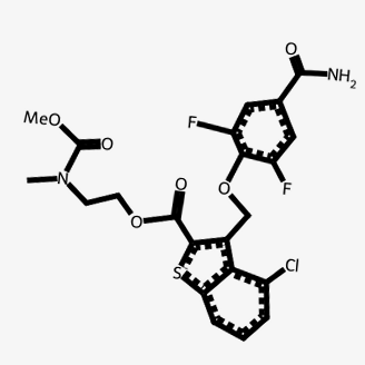 COC(=O)N(C)CCOC(=O)c1sc2cccc(Cl)c2c1COc1c(F)cc(C(N)=O)cc1F